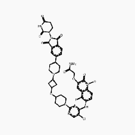 CNC(=O)COc1cc2c(F)c(Nc3nc(N4CCC(OC5CC(N6CCC(c7ccc8c(c7)C(=O)N([C@@H]7CCC(=O)NC7=O)C8=O)CC6)C5)CC4)ncc3Cl)ccc2n(C(C)C)c1=O